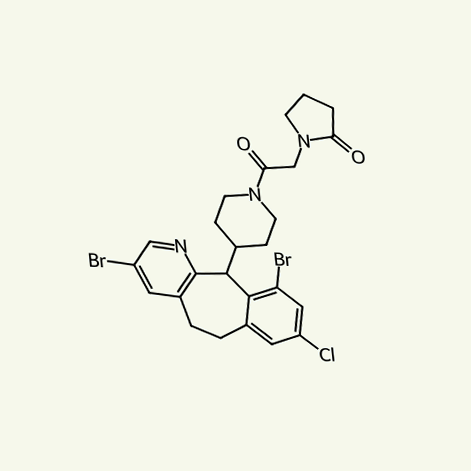 O=C(CN1CCCC1=O)N1CCC(C2c3ncc(Br)cc3CCc3cc(Cl)cc(Br)c32)CC1